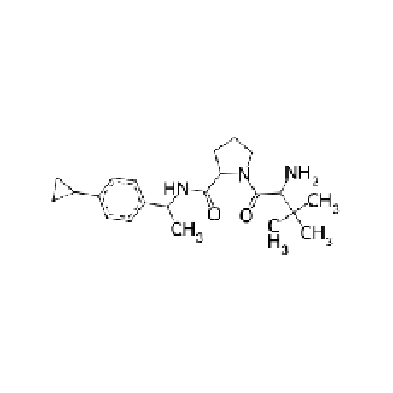 CC(NC(=O)C1CCCN1C(=O)C(N)C(C)(C)C)c1ccc(C2CC2)cc1